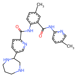 Cc1ccc(NC(=O)c2cc(C)ccc2NC(=O)c2ccc(C3CNCCCN3)cn2)nc1